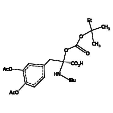 CCC(C)N[C@@](Cc1ccc(OC(C)=O)c(OC(C)=O)c1)(OC(=O)OC(C)(C)CC)C(=O)O